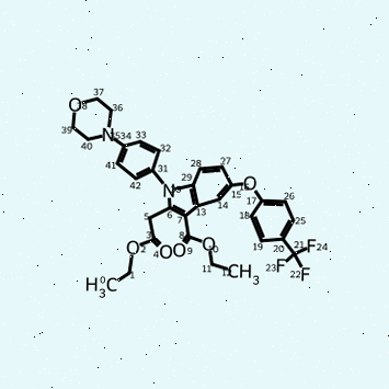 CCOC(=O)Cc1c(C(=O)OCC)c2cc(Oc3ccc(C(F)(F)F)cc3)ccc2n1-c1ccc(N2CCOCC2)cc1